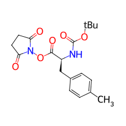 Cc1ccc(C[C@H](NC(=O)OC(C)(C)C)C(=O)ON2C(=O)CCC2=O)cc1